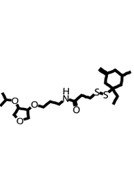 C=C1CC(C)CC(CC)(SSCCC(=O)NCCCOC2COCC2OC(C)C)C1